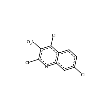 O=[N+]([O-])c1c(Cl)nc2cc(Cl)ccc2c1Cl